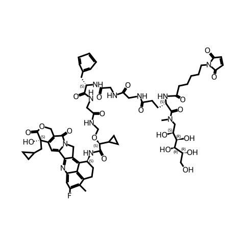 Cc1c(F)cc2nc3c(c4c2c1CC[C@@H]4NC(=O)[C@@H](OCNC(=O)CNC(=O)[C@H](Cc1ccccc1)NC(=O)CNC(=O)CNC(=O)CC[C@H](NC(=O)CCCCCN1C(=O)C=CC1=O)C(=O)N(C)C[C@H](O)[C@@H](O)[C@H](O)[C@H](O)CO)C1CC1)Cn1c-3cc2c(c1=O)COC(=O)[C@]2(O)CC1CC1